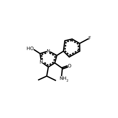 CC(C)c1nc(O)nc(-c2ccc(F)cc2)c1C(N)=O